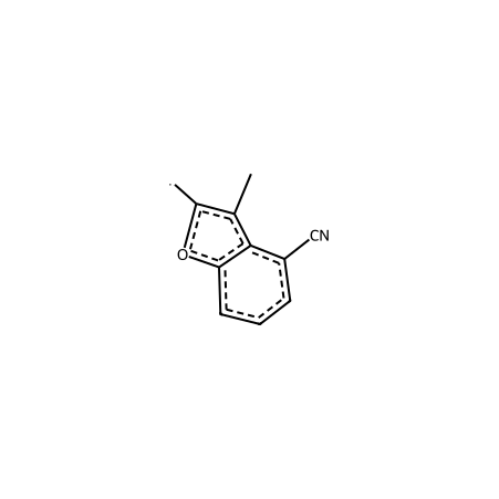 [CH2]c1oc2cccc(C#N)c2c1C